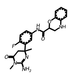 CN1C(=O)CC(C)(c2cc(NC(=O)C3CNc4ccccc4O3)ccc2F)N=C1N